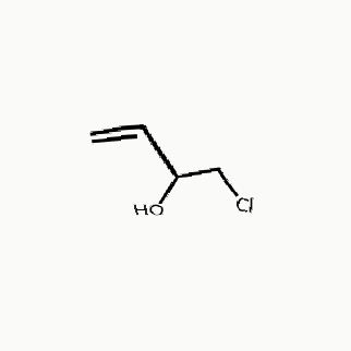 C=CC(O)CCl